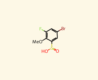 COc1c(F)cc(Br)cc1S(=O)O